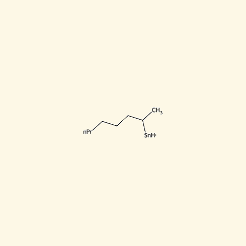 CCCCCC[CH](C)[SnH]